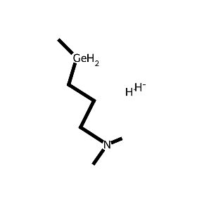 [CH3][GeH2][CH2]CCN(C)C.[H-].[H-]